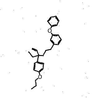 C=CC(CC)(CCCc1cccc(Oc2ccccc2)c1)c1ccc(OCCC)cc1